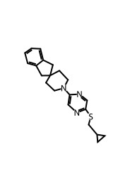 c1ccc2c(c1)CC1(CCN(c3cnc(SCC4CC4)cn3)CC1)C2